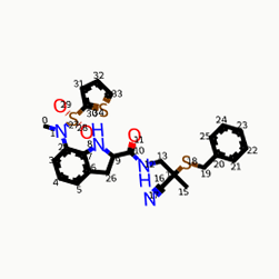 CN(c1cccc2c1NC(C(=O)NCC(C)(C#N)SCc1ccccc1)C2)S(=O)(=O)c1cccs1